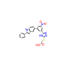 Cn1c(-c2ccccc2)cc2cc(-c3cc(-c4nnc(SCC(=O)O)[nH]4)cc([N+](=O)[O-])c3)ccc21